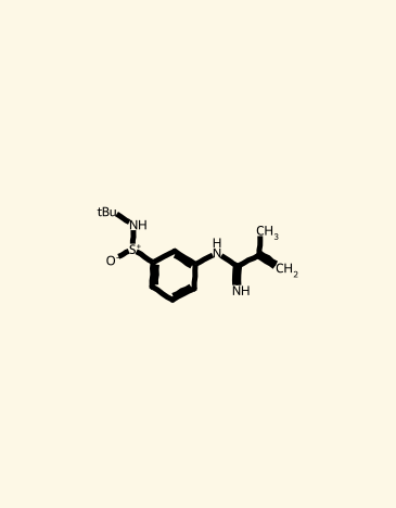 C=C(C)C(=N)Nc1cccc([S+]([O-])NC(C)(C)C)c1